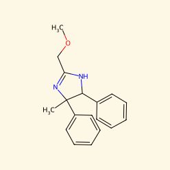 COCC1=NC(C)(c2ccccc2)C(c2ccccc2)N1